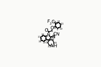 N#CN=C1N(C(=O)COc2ccccc2C(F)(F)F)c2ccccc2C12CCNCC2